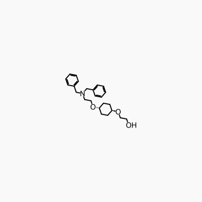 OCCO[C@H]1CC[C@H](OCCN(Cc2ccccc2)Cc2ccccc2)CC1